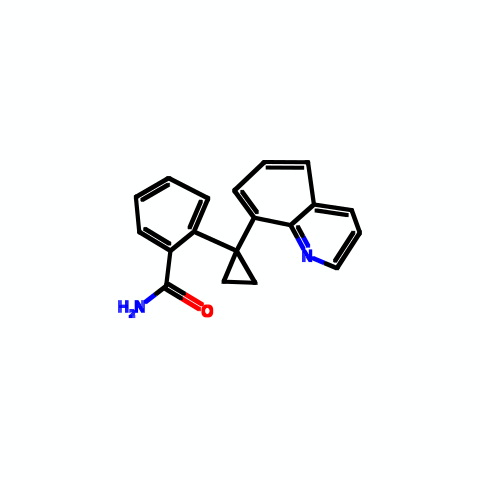 NC(=O)c1ccccc1C1(c2cccc3cccnc23)CC1